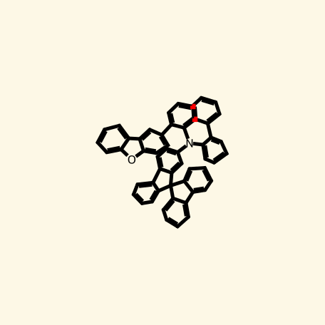 c1ccc(-c2ccccc2N(c2ccc3c(c2)C2(c4ccccc4-c4ccccc42)c2ccccc2-3)c2ccccc2-c2ccc3oc4ccccc4c3c2)cc1